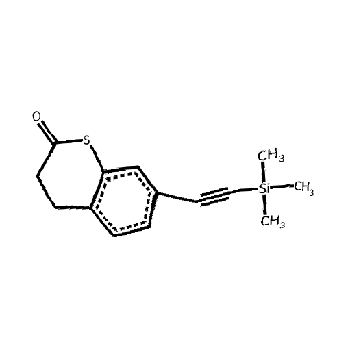 C[Si](C)(C)C#Cc1ccc2c(c1)SC(=O)CC2